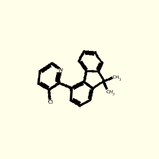 CC1(C)c2ccccc2-c2c(-c3ncccc3Cl)cccc21